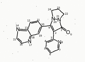 O=c1c(-c2ccccn2)c(-c2ccc3nccnc3c2)n2n1CCC2